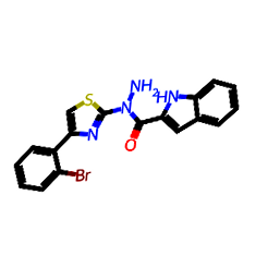 NN(C(=O)c1cc2ccccc2[nH]1)c1nc(-c2ccccc2Br)cs1